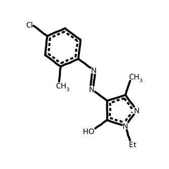 CCn1nc(C)c(/N=N/c2ccc(Cl)cc2C)c1O